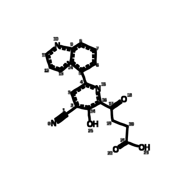 N#Cc1cc(-c2cccc3ncccc23)nc(C(=O)CCC(=O)O)c1O